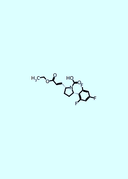 CCOC(=O)/C=C/[C@H]1CC[C@@H](c2c(F)cc(F)cc2F)N1C(=O)O